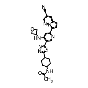 CC(=O)NC1CCC(c2nnc(-c3cnc(-c4ccc5cc(C#N)cnn45)cc3NC3COC3)s2)CC1